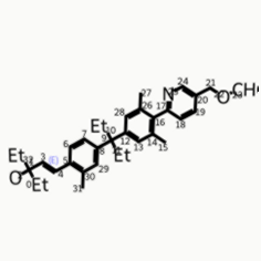 CCC(O)(/C=C/c1ccc(C(CC)(CC)c2cc(C)c(-c3ccc(COC=O)cn3)c(C)c2)cc1C)CC